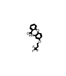 O=C1Nc2cc(OCCC(F)(F)F)ccc2Oc2ccccc21